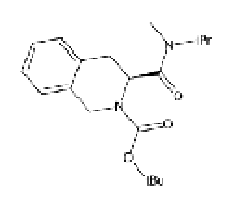 CC(C)N(C)C(=O)[C@@H]1Cc2ccccc2CN1C(=O)OC(C)(C)C